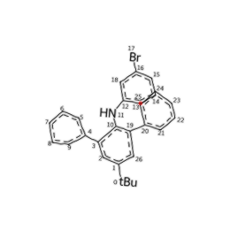 CC(C)(C)c1cc(-c2ccccc2)c(Nc2cccc(Br)c2)c(-c2ccccc2)c1